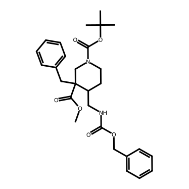 COC(=O)C1(Cc2ccccc2)CN(C(=O)OC(C)(C)C)CCC1CNC(=O)OCc1ccccc1